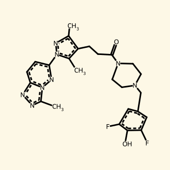 Cc1nn(-c2ccc3nnc(C)n3n2)c(C)c1CCC(=O)N1CCN(Cc2cc(F)c(O)c(F)c2)CC1